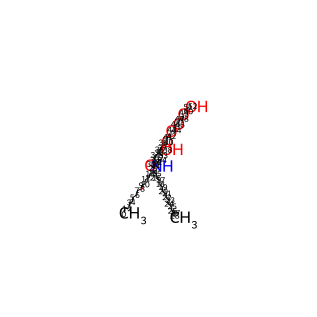 CCCCCCCCCCCCCCC(CCCCCCCCCCCCCC)C(=O)Nc1ccc(CC(O)COCCOCCOCCOCCO)cc1